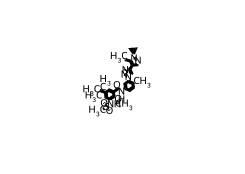 CCc1c(-c2cn(-c3cc(NC(=O)c4cc(C(C)(C)C)cc(NS(C)(=O)=O)c4OC)ccc3C)nn2)cnn1C1CC1